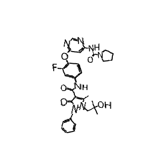 Cc1c(C(=O)Nc2ccc(Oc3cc(NC(=O)N4CCCC4)ncn3)c(F)c2)c(=O)n(-c2ccccc2)n1CC(C)(C)O